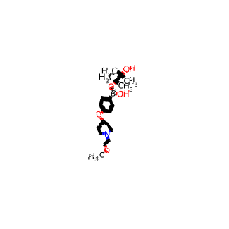 COCCN1CCC(Oc2ccc(B(O)OC(C)(C)C(C)(C)O)cc2)CC1